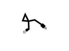 N#CCC1([C]=O)CC1